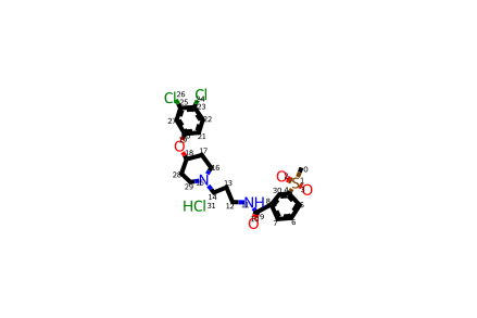 CS(=O)(=O)c1cccc(C(=O)NCCCN2CCC(Oc3ccc(Cl)c(Cl)c3)CC2)c1.Cl